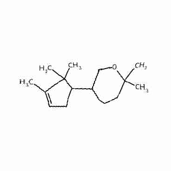 CC1=CCC(C2CCC(C)(C)OC2)C1(C)C